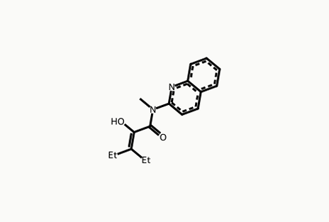 CCC(CC)=C(O)C(=O)N(C)c1ccc2ccccc2n1